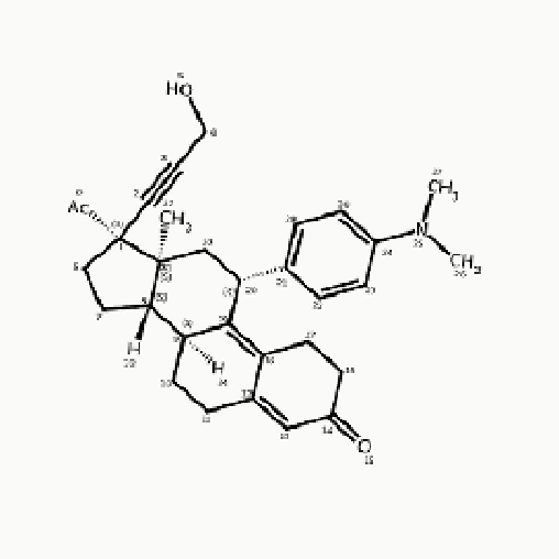 CC(=O)[C@@]1(C#CCO)CC[C@H]2[C@@H]3CCC4=CC(=O)CCC4=C3[C@@H](c3ccc(N(C)C)cc3)C[C@@]21C